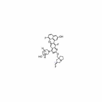 CCc1c(F)ccc2cc(O)cc(-c3ncc4c(N5C[C@@H]6C[C@H](C5)[C@H](O)C6)nc(OCC56CCCN5C/C(=C\F)C6)nc4c3F)c12